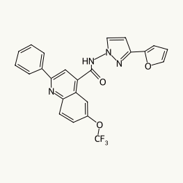 O=C(Nn1ccc(-c2ccco2)n1)c1cc(-c2ccccc2)nc2ccc(OC(F)(F)F)cc12